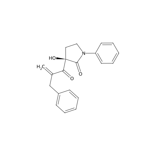 C=C(Cc1ccccc1)C(=O)[C@]1(O)CCN(c2ccccc2)C1=O